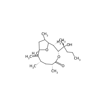 C=C1[C@@H](C)C[C@@H](C)C(=O)O[C@@H]([C@](C)(O)CCC)[C@@H](C)C2O[C@]1(C)CC2C